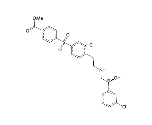 COC(=O)c1ccc(S(=O)(=O)c2ccc(CCNC[C@@H](O)c3cccc(Cl)c3)cc2)cc1.Cl